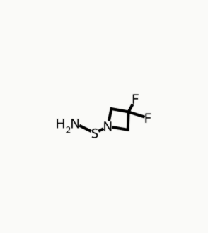 NSN1CC(F)(F)C1